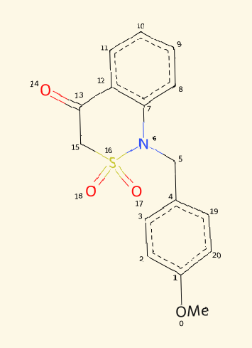 COc1ccc(CN2c3ccccc3C(=O)CS2(=O)=O)cc1